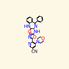 N#Cc1cnc(-c2nnc(N[C@H]3N=C(c4ccccc4)c4ccccc4NC3=O)o2)c(N2CCOCC2)c1